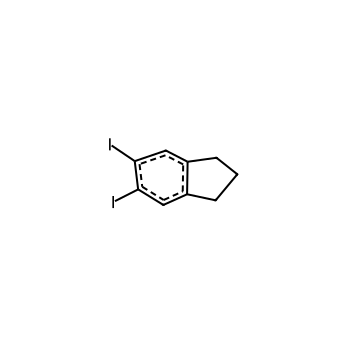 Ic1cc2c(cc1I)CCC2